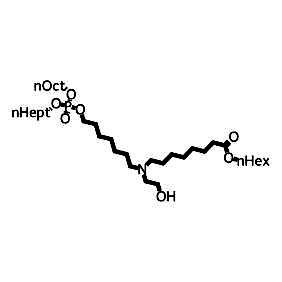 CCCCCCCCOP(=O)(OCCCCCCC)OCCCCCCCN(CCO)CCCCCCCC(=O)OCCCCCC